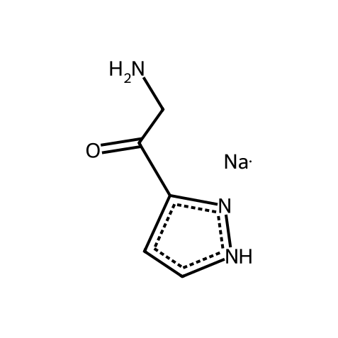 NCC(=O)c1cc[nH]n1.[Na]